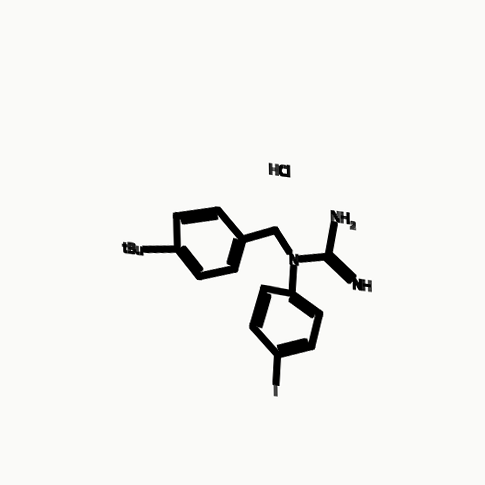 CC(C)(C)c1ccc(CN(C(=N)N)c2ccc(I)cc2)cc1.Cl